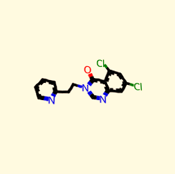 O=c1c2c(Cl)cc(Cl)cc2ncn1CCc1ccccn1